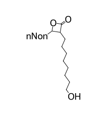 CCCCCCCCCC1OC(=O)C1CCCCCCCCO